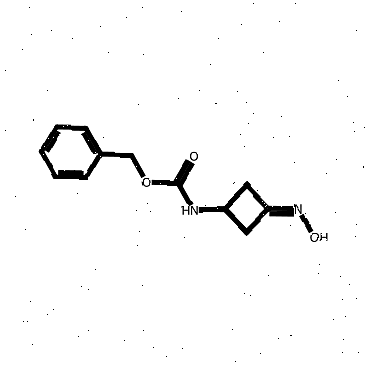 O=C(NC1CC(=NO)C1)OCc1ccccc1